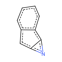 c1ccc2c3nc-3cc2c1